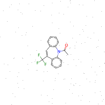 CC(=O)N1c2ccccc2C=C(C(F)(F)F)c2ccccc21